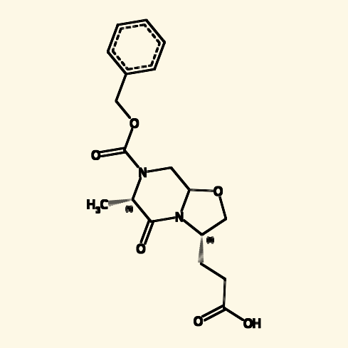 C[C@H]1C(=O)N2C(CN1C(=O)OCc1ccccc1)OC[C@@H]2CCC(=O)O